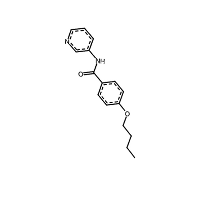 CCCCOc1ccc(C(=O)Nc2cccnc2)cc1